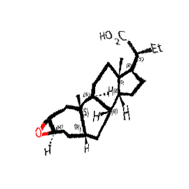 CC[C@H](C(=O)O)[C@H]1CC[C@@H]2[C@@H]3CC[C@@H]4C[C@H]5OC5C[C@]4(C)[C@H]3CC[C@@]21C